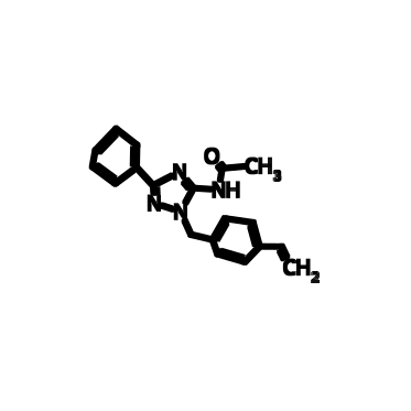 C=Cc1ccc(Cn2nc(-c3ccccc3)nc2NC(C)=O)cc1